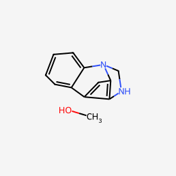 C1=C2C3=C1N(CN3)c1ccccc12.CO